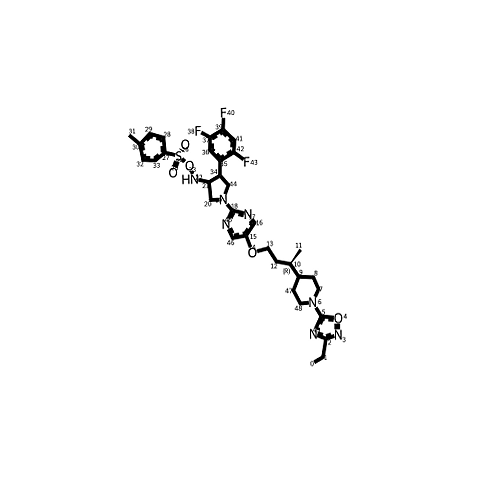 CCc1noc(N2CCC([C@H](C)CCOc3cnc(N4CC(NOS(=O)(=O)c5ccc(C)cc5)C(c5cc(F)c(F)cc5F)C4)nc3)CC2)n1